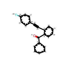 O=C(c1ccccc1)c1ccccc1C#Cc1ccc(F)cc1